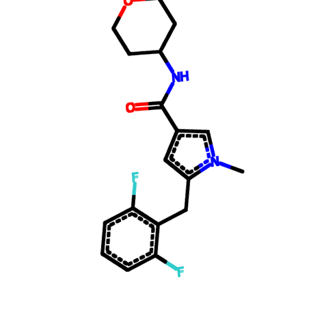 Cn1cc(C(=O)NC2CCOCC2)cc1Cc1c(F)cccc1F